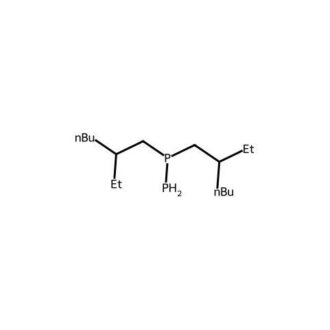 CCCCC(CC)CP(P)CC(CC)CCCC